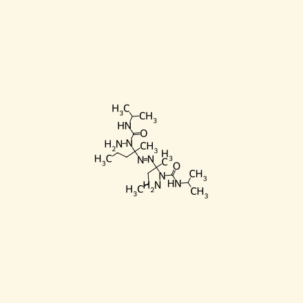 CCCC(C)(N=NC(C)(CCC)N(N)C(=O)NC(C)C)N(N)C(=O)NC(C)C